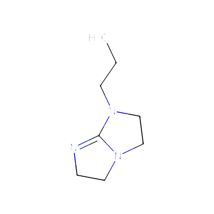 CCCN1CCN2CCN=C12